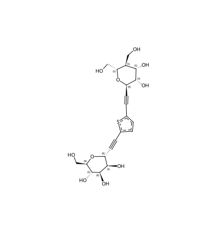 OC[C@H]1[C@H](O)[C@H](O)[C@@H](C#Cc2ccc(C#C[C@H]3O[C@H](CO)[C@@H](O)[C@H](O)[C@@H]3O)s2)O[C@@H]1CO